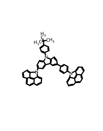 CC(C)(C)c1ccc(-n2c3ccc(-c4ccc(-n5c6cccc7ccc8cccc5c8c76)cc4)cc3c3cc(-n4c5cccc6ccc7cccc4c7c65)ccc32)cc1